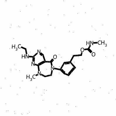 CCNc1ncc2c(n1)N(C)CCN(c1cccc(CCOC(=O)NC)c1)C2=O